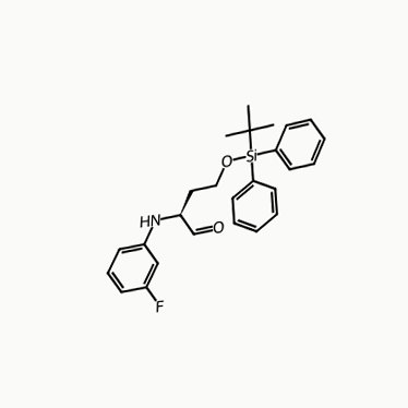 CC(C)(C)[Si](OCC[C@@H](C=O)Nc1cccc(F)c1)(c1ccccc1)c1ccccc1